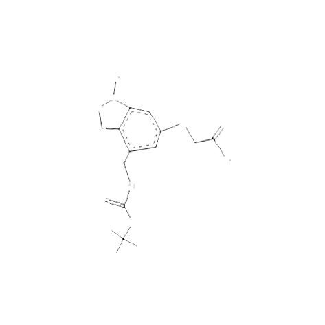 CC(C)(C)OC(=O)NCc1cc(OCC(=O)O)cc2c1COB2O